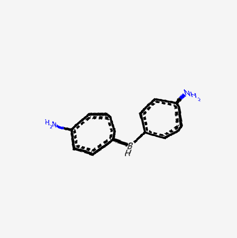 Nc1ccc(Bc2ccc(N)cc2)cc1